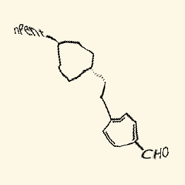 CCCCC[C@H]1CC[C@H](CCc2ccc(C=O)cc2)CC1